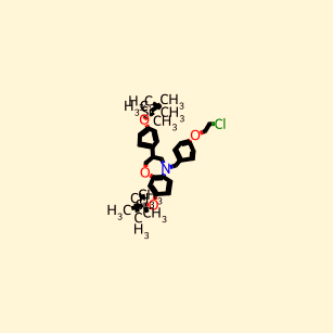 CC(C)(C)[Si](C)(C)Oc1ccc(C2COc3cc(O[Si](C)(C)C(C)(C)C)ccc3N(Cc3ccc(OCCCl)cc3)C2)cc1